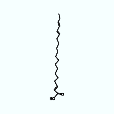 CCC=CC=CCCCCCCCCCCCC=CC(=O)O